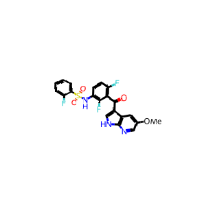 COc1cnc2[nH]cc(C(=O)c3c(F)ccc(NS(=O)(=O)c4ccccc4F)c3F)c2c1